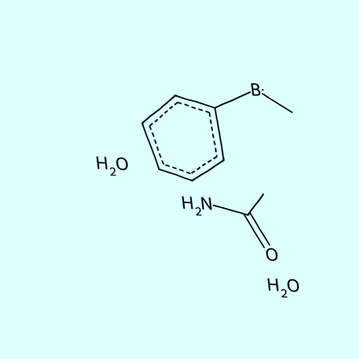 CC(N)=O.C[B]c1ccccc1.O.O